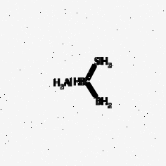 [AlH3].[BH2][BiH][SiH3]